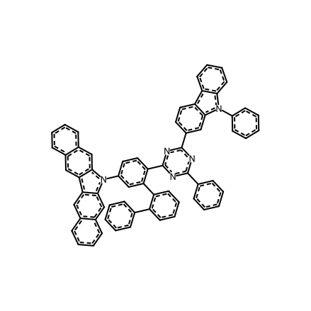 c1ccc(-c2nc(-c3ccc4c5ccccc5n(-c5ccccc5)c4c3)nc(-c3ccc(-n4c5cc6ccccc6cc5c5cc6ccccc6cc54)cc3-c3ccccc3-c3ccccc3)n2)cc1